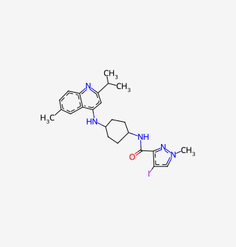 Cc1ccc2nc(C(C)C)cc(NC3CCC(NC(=O)c4nn(C)cc4I)CC3)c2c1